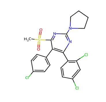 CS(=O)(=O)c1nc(N2CCCC2)nc(-c2ccc(Cl)cc2Cl)c1-c1ccc(Cl)cc1